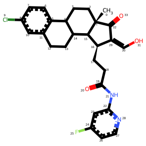 C[C@]12CCC3c4ccc(Cl)cc4CCC3C1[C@H](CCC(=O)Nc1cc(F)ccn1)/C(=C/O)C2=O